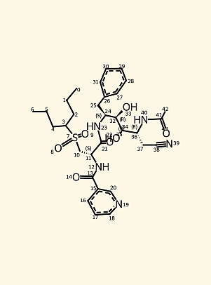 CCCC(CCC)S(=O)(=O)C[C@@H](NC(=O)c1cccnc1)C(=O)N[C@@H](Cc1ccccc1)[C@@H](O)[C@H](O)[C@@H](CC#N)NC(C)=O